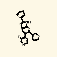 Fc1cnccc1-c1cc2nc(-c3ccccn3)[nH]c2nc1-c1cccnc1